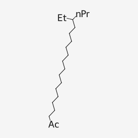 CCCC(CC)CCCCCCCCCCCCCCC(C)=O